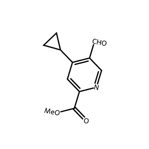 COC(=O)c1cc(C2CC2)c(C=O)cn1